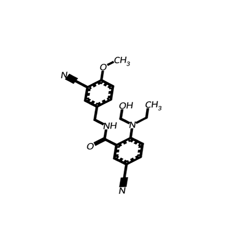 CCN(CO)c1ccc(C#N)cc1C(=O)NCc1ccc(OC)c(C#N)c1